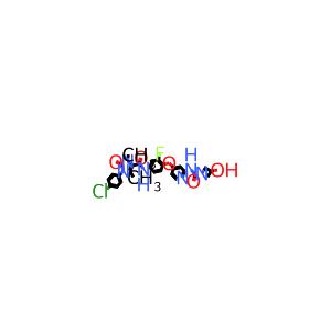 Cc1c(C(=O)Nc2ccc(Oc3ccnc(NC(=O)N4CC(O)C4)c3)c(F)c2)n(C)c(=O)n1-c1ccc(Cl)cc1